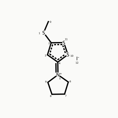 CSc1cc(=[N+]2CCCC2)ss1.[I-]